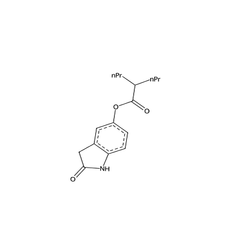 CCCC(CCC)C(=O)Oc1ccc2c(c1)CC(=O)N2